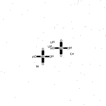 [Co].[LiH].[LiH].[Ni].[O]=[Mn](=[O])([OH])[OH].[O]=[Mn](=[O])([OH])[OH]